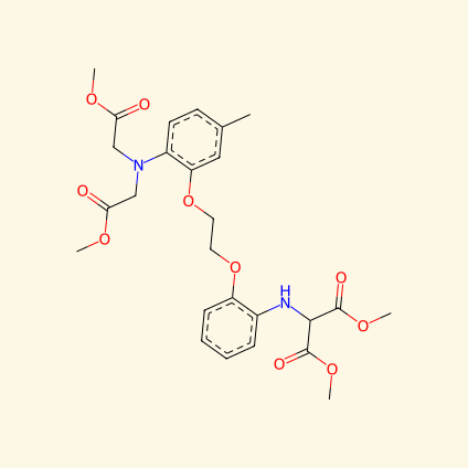 COC(=O)CN(CC(=O)OC)c1ccc(C)cc1OCCOc1ccccc1NC(C(=O)OC)C(=O)OC